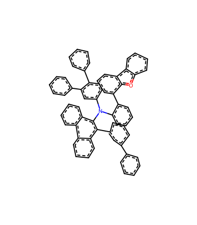 c1ccc(-c2cccc(-c3c(N(c4ccc(-c5ccccc5)c(-c5ccccc5)c4)c4ccccc4-c4cccc5c4oc4ccccc45)c4ccccc4c4ccccc34)c2)cc1